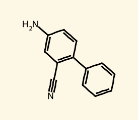 N#Cc1cc(N)ccc1-c1ccccc1